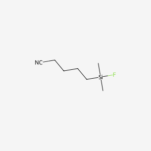 C[Si](C)(F)CCCCC#N